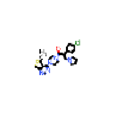 C[C@H]1SCc2ncnc(N3CCN(C(=O)C(CN4CCCC4)c4ccc(Cl)cc4)CC3)c21